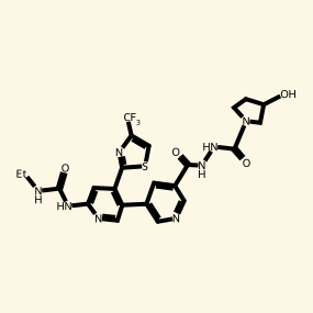 CCNC(=O)Nc1cc(-c2nc(C(F)(F)F)cs2)c(-c2cncc(C(=O)NNC(=O)N3CCC(O)C3)c2)cn1